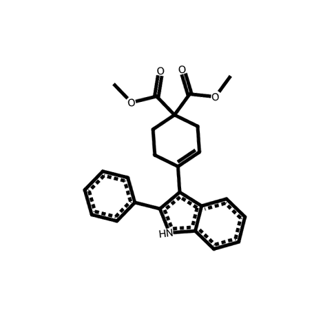 COC(=O)C1(C(=O)OC)CC=C(c2c(-c3ccccc3)[nH]c3ccccc23)CC1